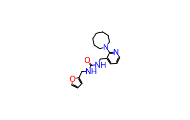 O=C(NCc1ccco1)NCc1cccnc1N1CCCCCCC1